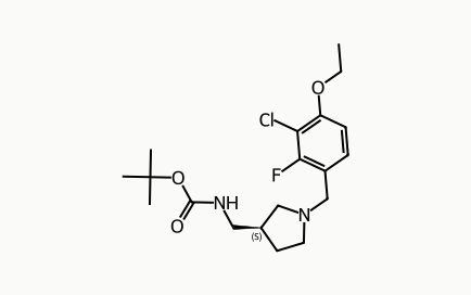 CCOc1ccc(CN2CC[C@@H](CNC(=O)OC(C)(C)C)C2)c(F)c1Cl